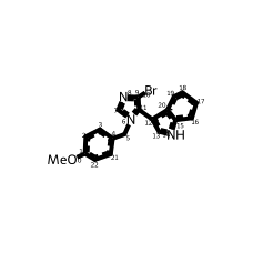 COc1ccc(Cn2cnc(Br)c2-c2c[nH]c3ccccc23)cc1